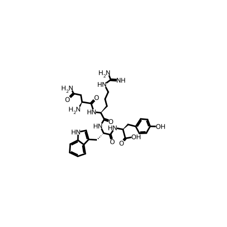 N=C(N)NCCC[C@H](NC(=O)[C@@H](N)CC(N)=O)C(=O)N[C@@H](Cc1c[nH]c2ccccc12)C(=O)N[C@@H](Cc1ccc(O)cc1)C(=O)O